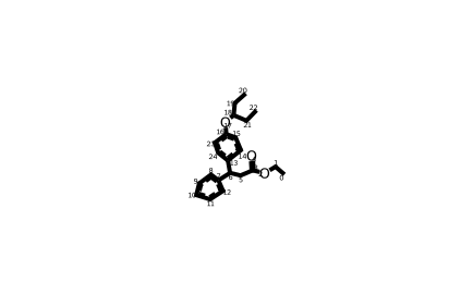 CCOC(=O)CC(c1ccccc1)c1ccc(OC(CC)CC)cc1